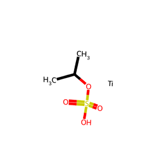 CC(C)OS(=O)(=O)O.[Ti]